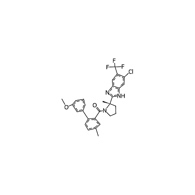 COc1cccc(-c2ccc(C)cc2C(=O)N2CCC[C@@]2(C)c2nc3cc(C(F)(F)F)c(Cl)cc3[nH]2)c1